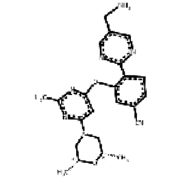 Cc1nc(Oc2cc(C#N)ccc2-c2ncc(CN)cn2)cc(N2C[C@@H](C)O[C@@H](C)C2)n1